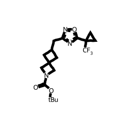 CC(C)(C)OC(=O)N1CC2(CC(Cc3noc(C4(C(F)(F)F)CC4)n3)C2)C1